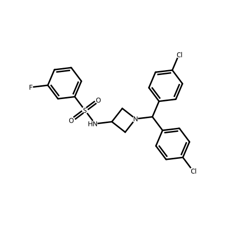 O=S(=O)(NC1CN(C(c2ccc(Cl)cc2)c2ccc(Cl)cc2)C1)c1cccc(F)c1